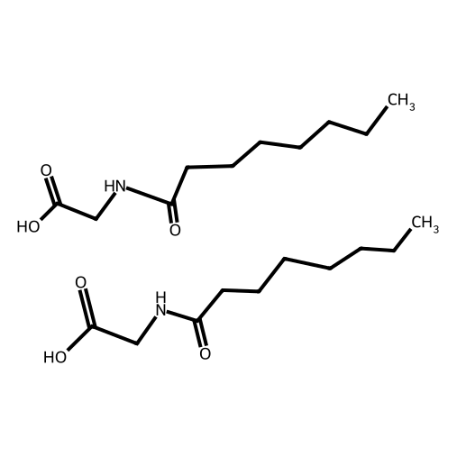 CCCCCCCC(=O)NCC(=O)O.CCCCCCCC(=O)NCC(=O)O